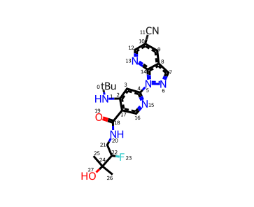 CC(C)(C)Nc1cc(-n2ncc3cc(C#N)cnc32)ncc1C(=O)NCC(F)C(C)(C)O